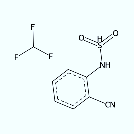 FC(F)F.N#Cc1ccccc1N[SH](=O)=O